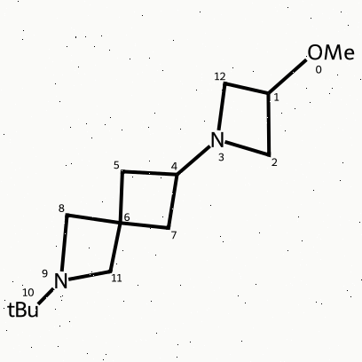 COC1CN(C2CC3(C2)CN(C(C)(C)C)C3)C1